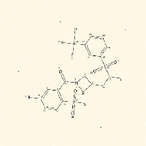 CC(CC1CN(C(=O)c2cc(F)ccc2S(C)(=O)=O)C1)S(=O)(=O)c1cccc(C(F)(F)F)c1